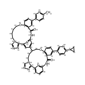 Cc1ccc(-c2ccc3c(c2)C(=O)Nc2cc(C4CCn5cnnc5-c5cccc(n5)NC(=O)c5cc(-c6ccc(C7CC7)nc6)ccc5OC4)cc(n2)-c2nncn2CCCCO3)cn1